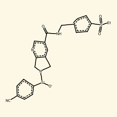 CCS(=O)(=O)c1ccc(CNC(=O)c2cnc3c(c2)CN([S+]([O-])c2ccc(C#N)cc2)C3)cc1